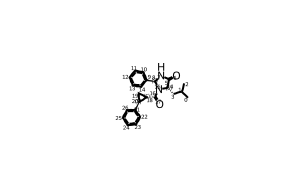 CC(C)C[C@H]1C(=O)N[C@H](c2ccccc2)N1C(=O)[C@H]1C[C@@H]1c1ccccc1